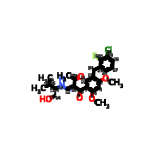 COc1cc(OC)c(C(=O)/C(=C/N[C@H](CO)C(C)C)C(C)=O)cc1Cc1cccc(Cl)c1F